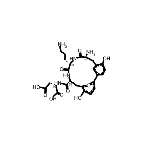 NCCC[C@@H]1NC(=O)[C@@H](N)Cc2cc(ccc2O)-c2ccc(O)c(c2)C[C@@H](C(=O)N[C@@H](CC(=O)O)C(=O)O)NC1=O